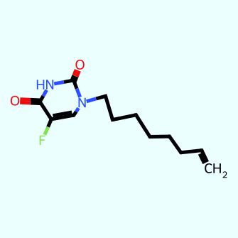 C=CCCCCCCn1cc(F)c(=O)[nH]c1=O